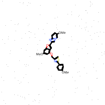 COc1ccc(-c2nc(COc3cc(OC)cc4oc(-c5cn6cc(OC)ccc6n5)cc34)cs2)cc1